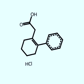 Cl.O=C(O)CC1=C(c2ccccc2)CCCC1